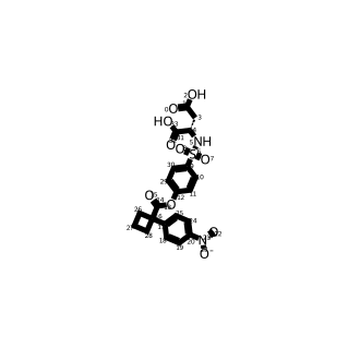 O=C(O)C[C@H](NS(=O)(=O)c1ccc(OC(=O)C2(c3ccc([N+](=O)[O-])cc3)CCC2)cc1)C(=O)O